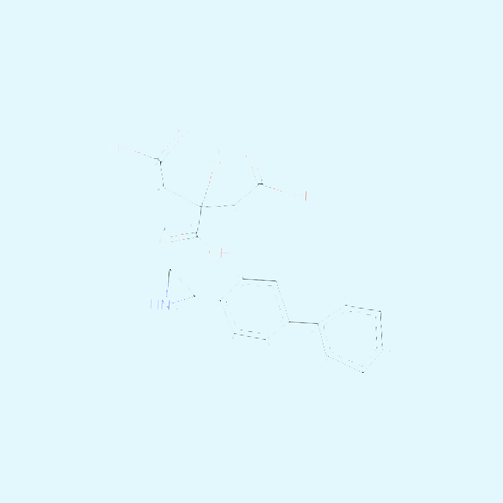 C1CN1.O=C(O)CC(O)(CC(=O)O)C(=O)O.c1ccc(-c2ccccc2)cc1